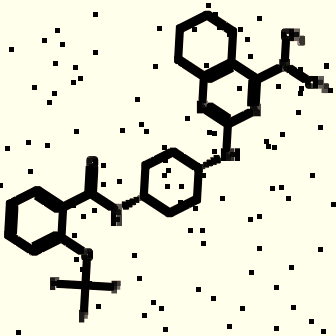 CN(C)c1nc(N[C@H]2CC[C@@H](NC(=O)c3ccccc3OC(F)(F)F)CC2)nc2c1CCCC2